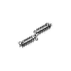 O=C(OOC(=O)C(F)(F)C(F)(F)C(F)(F)C(F)(F)C(F)(F)C(F)(F)C(F)(F)Cl)C(F)(F)C(F)(F)C(F)(F)C(F)(F)C(F)(F)C(F)(F)C(F)(F)Cl